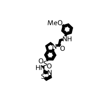 COc1cccc(NCC(=O)N2CCc3cc(S(=O)(=O)Nc4nccs4)ccc32)c1